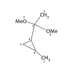 COC(C)(OC)C1CC1C